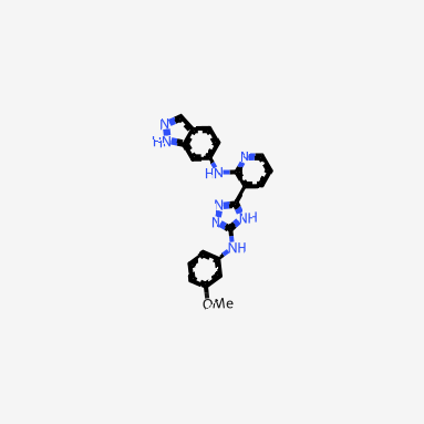 COc1cccc(Nc2nnc(-c3cccnc3Nc3ccc4cn[nH]c4c3)[nH]2)c1